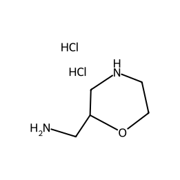 Cl.Cl.NCC1CNCCO1